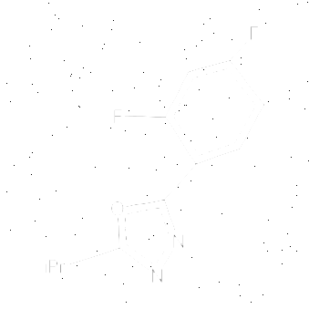 CC(C)c1nnc(-c2ccc(F)cc2F)o1